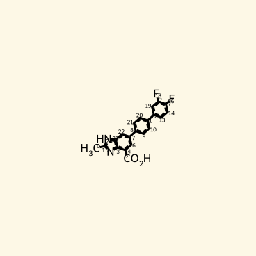 Cc1nc2c(C(=O)O)cc(-c3ccc(-c4ccc(F)c(F)c4)cc3)cc2[nH]1